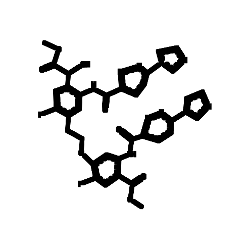 COC(=O)c1cc(F)c(OCCc2cc(NC(=O)c3ccc(-n4ccnc4)nn3)c(C(O)C(=O)OC)cc2F)cc1NC(=O)c1ccc(-n2ccnc2)nn1